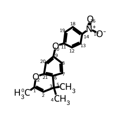 CC1=CC(C)(C)c2ccc(Oc3ccc([N+](=O)[O-])cc3)cc2O1